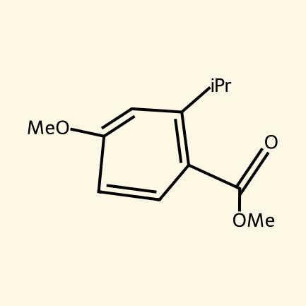 COC(=O)c1ccc(OC)cc1C(C)C